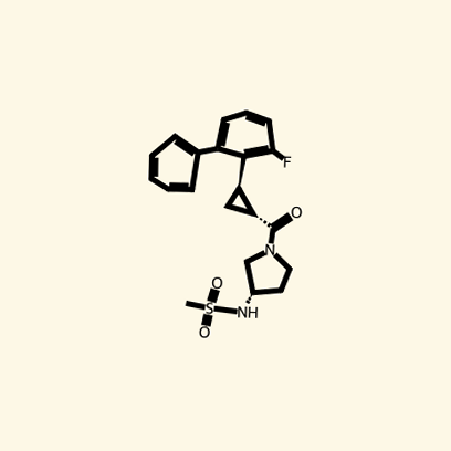 CS(=O)(=O)N[C@H]1CCN(C(=O)[C@@H]2C[C@H]2c2c(F)cccc2-c2ccccc2)C1